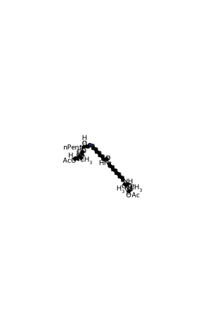 CCCCCC(OC(=O)C[N+](C)(C)CCOC(C)=O)C(O)C/C=C\CCCCCCCC(=O)NCCCCCCCCCCNC(=O)C[N+](C)(C)CCOC(C)=O